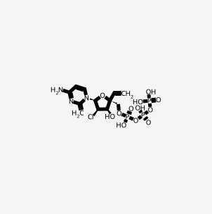 C=C[C@]1(COP(=O)(O)OP(=O)(O)OP(=O)(O)O)O[C@@H](N2C=CC(N)=NC2=C)[C@H](Cl)[C@@H]1O